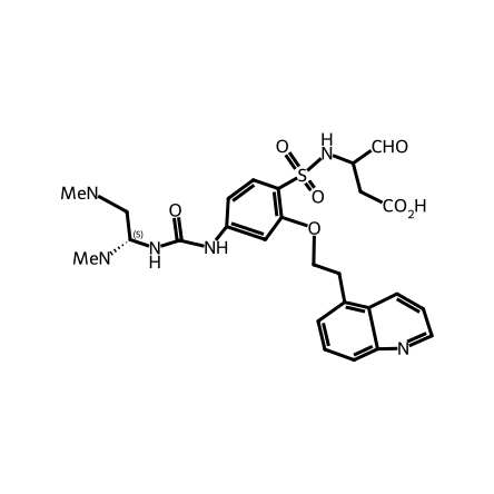 CNC[C@@H](NC)NC(=O)Nc1ccc(S(=O)(=O)NC(C=O)CC(=O)O)c(OCCc2cccc3ncccc23)c1